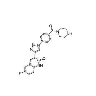 O=C(c1ccc(-n2cc(-c3cc4cc(F)ccc4[nH]c3=O)nn2)cc1)N1CCNCC1